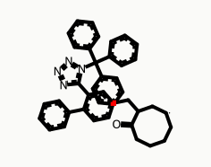 O=C1CCCC[CH]CC1Cc1ccc(-c2ccccc2)c(-c2nnnn2C(c2ccccc2)(c2ccccc2)c2ccccc2)c1